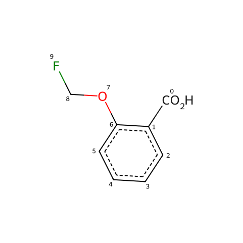 O=C(O)c1ccccc1OCF